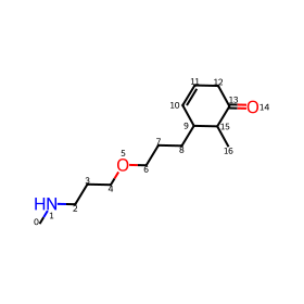 CNCCCOCCCC1C=CCC(=O)C1C